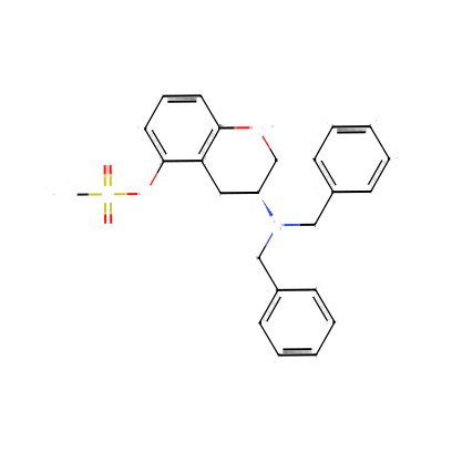 O=S(=O)(Oc1cccc2c1C[C@H](N(Cc1ccccc1)Cc1ccccc1)CO2)C(F)(F)F